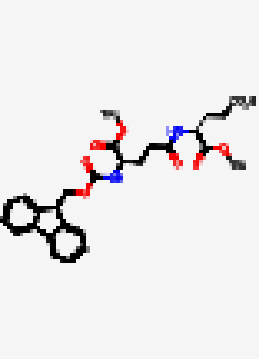 CC(C)(C)OC(=O)[C@@H](CCC(=O)O)NC(=O)CC[C@@H](NC(=O)OCC1c2ccccc2-c2ccccc21)C(=O)OC(C)(C)C